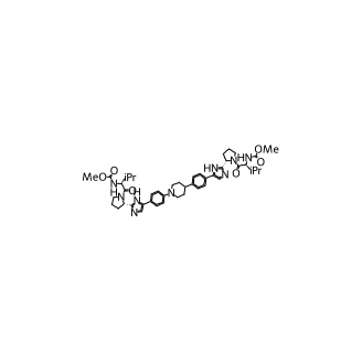 COC(=O)N[C@H](C(=O)N1CCC[C@H]1c1ncc(-c2ccc(C3CCN(c4ccc(-c5cnc([C@@H]6CCCN6C(=O)[C@@H](NC(=O)OC)C(C)C)[nH]5)cc4)CC3)cc2)[nH]1)C(C)C